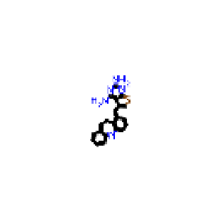 Nc1nc(N)c2c(CC3C=CCC4=C3CC=c3ccccc3=N4)csc2n1